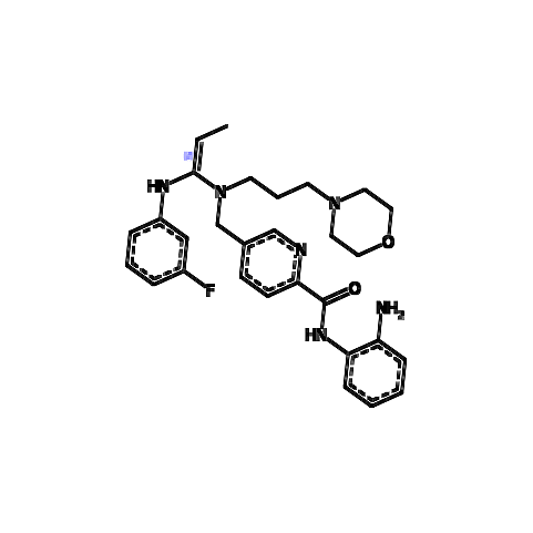 C/C=C(/Nc1cccc(F)c1)N(CCCN1CCOCC1)Cc1ccc(C(=O)Nc2ccccc2N)nc1